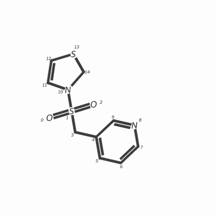 O=S(=O)(Cc1cccnc1)N1C=CSC1